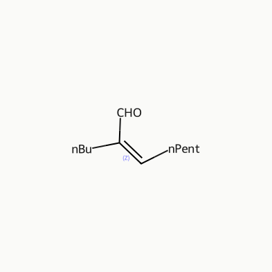 CCCCC/C=C(\C=O)CCCC